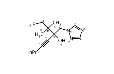 CCCC#CC(O)(Cn1cncn1)C(C)(C)CF